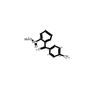 CO[PH](=O)c1ccccc1C(=O)c1ccc(C)cc1